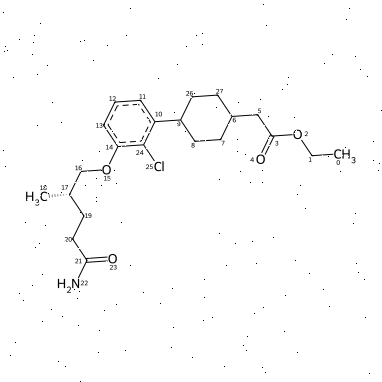 CCOC(=O)CC1CCC(c2cccc(OC[C@@H](C)CCC(N)=O)c2Cl)CC1